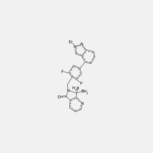 BC1(B)c2ncccc2C(=O)N1Cc1c(F)cc(-c2cccc3nn(CC)cc23)cc1F